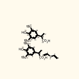 C=CSC=C.CC(C(=O)O)c1cc(C(C)(C)C)c(O)c(C(C)(C)C)c1.CC(C(=O)O)c1cc(C(C)(C)C)c(O)c(C(C)(C)C)c1